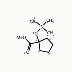 COC(=O)C1(O[Si](C)(C)C(C)(C)C)CCCC1